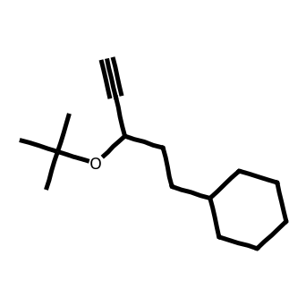 C#CC(CCC1CCCCC1)OC(C)(C)C